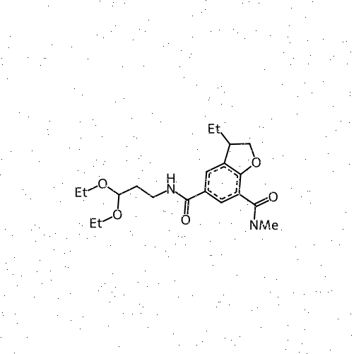 CCOC(CCNC(=O)c1cc(C(=O)NC)c2c(c1)C(CC)CO2)OCC